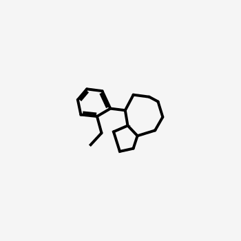 CCc1ccccc1C1CCCCCC2CCC[C]21